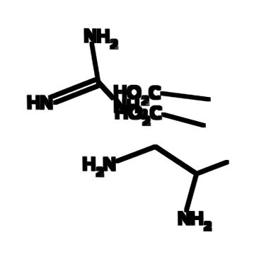 CC(=O)O.CC(=O)O.CC(N)CN.N=C(N)N